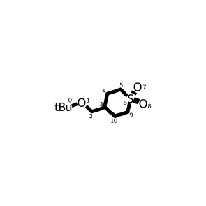 CC(C)(C)OCC1CCS(=O)(=O)CC1